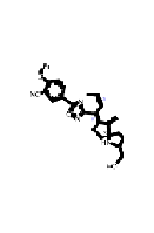 C=C1/C(=C(\C=C/C)c2noc(-c3ccc(OC(C)C)c(C#N)c3)n2)CC[C@]12CCC(CO)N2